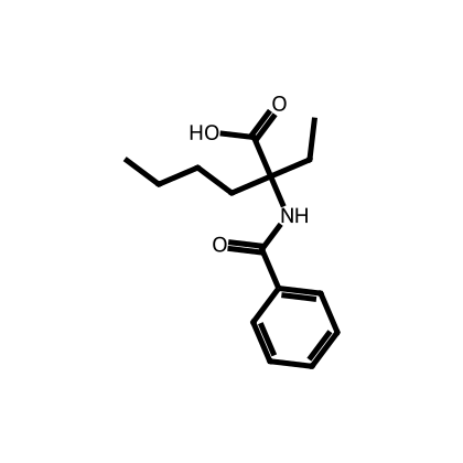 CCCCC(CC)(NC(=O)c1ccccc1)C(=O)O